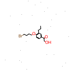 CCCc1cc(C(=O)CO)ccc1OCCCCBr